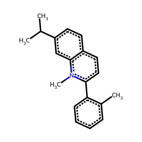 Cc1ccccc1-c1ccc2ccc(C(C)C)cc2[n+]1C